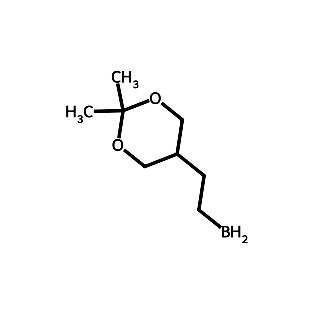 BCCC1COC(C)(C)OC1